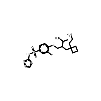 CC(N)C(CNc1ccc(S(=O)(=O)Nc2ncns2)cc1Cl)CC1(CCN)CCC1